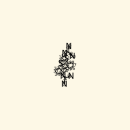 N#CC(C#N)=NC1=CC2=C(c3sc4cc(N=C(C#N)C#N)sc4c3C23CCCCC3)C12CCCCC2